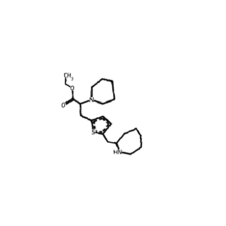 CCOC(=O)C(Cc1ccc(CC2CCCCCN2)s1)N1CCCCC1